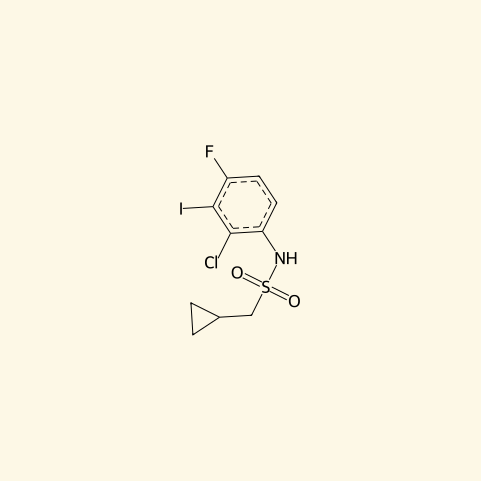 O=S(=O)(CC1CC1)Nc1ccc(F)c(I)c1Cl